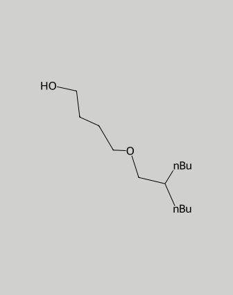 CCCCC(CCCC)COCCCCO